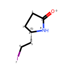 O=C1CC[C@@H](CCI)N1